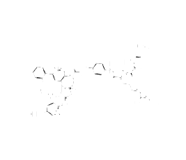 COCOc1ccccc1-c1cc2c(nn1)N(C(=O)OCc1ccc(NC(=O)[C@H](CCCNC(N)=O)NC(=O)[C@@H](NC(=O)OC(C)(C)C)C(C)C)cc1)C[C@]1(C)C[C@@H](Oc3ccc(C=O)cn3)CN21